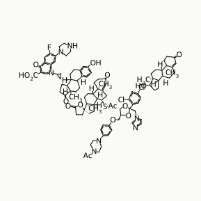 CC(=O)N1CCN(c2ccc(OC[C@H]3CO[C@](Cn4ccnc4)(c4ccc(Cl)cc4Cl)O3)cc2)CC1.CC(=O)S[C@@H]1CC2=CC(=O)CC[C@]2(C)[C@H]2CC[C@@]3(C)[C@@H](CC[C@@]34CCC(=O)O4)[C@H]12.C[C@]12CC[C@@H]3c4ccc(O)cc4CC[C@H]3[C@@H]1CCC2=O.C[C@]12CC[C@H]3[C@@H](CCC4=CC(=O)CC[C@@]43C)[C@@H]1CC[C@H]2O.O=C(O)c1cn(C2CC2)c2cc(N3CCNCC3)c(F)cc2c1=O